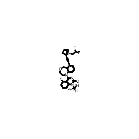 [2H]C([2H])([2H])n1c(=O)nc(N2CCOCc3c(C#CC45CC(CN4CC(F)F)C5)cccc32)c2c(F)cccc21